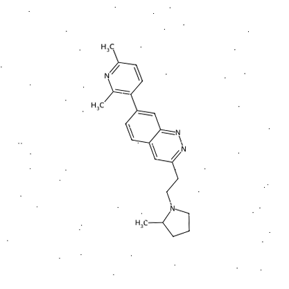 Cc1ccc(-c2ccc3cc(CCN4CCCC4C)nnc3c2)c(C)n1